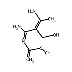 C=C(/N=C(N)\C(CO)=C(\C)N)SC